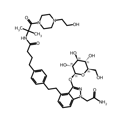 CC(C)(NC(=O)CCCc1ccc(CCc2cccc3c2c(O[C@@H]2O[C@H](CO)[C@@H](O)[C@H](O)[C@H]2O)nn3CC(N)=O)cc1)C(=O)N1CCN(CCO)CC1